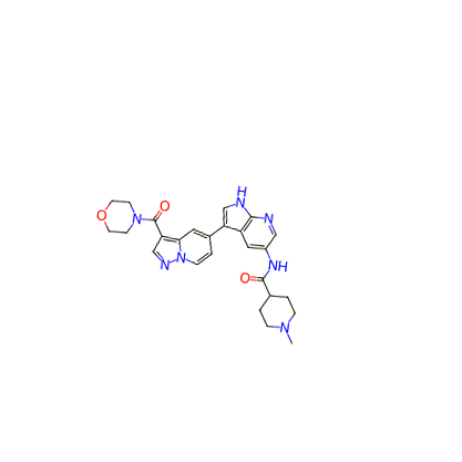 CN1CCC(C(=O)Nc2cnc3[nH]cc(-c4ccn5ncc(C(=O)N6CCOCC6)c5c4)c3c2)CC1